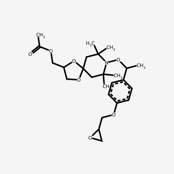 CC(=O)OCC1COC2(CC(C)(C)N(OC(C)c3ccc(OCC4CO4)cc3)C(C)(C)C2)O1